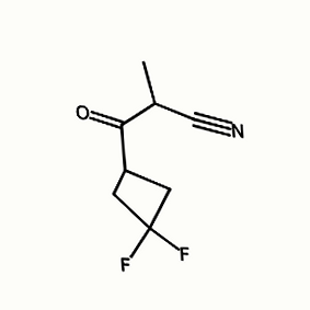 CC(C#N)C(=O)C1CC(F)(F)C1